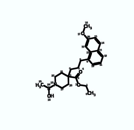 CCOC(=O)C1(CCCc2cccc3ccc(OC)cc23)CCN(B(C)O)CC1